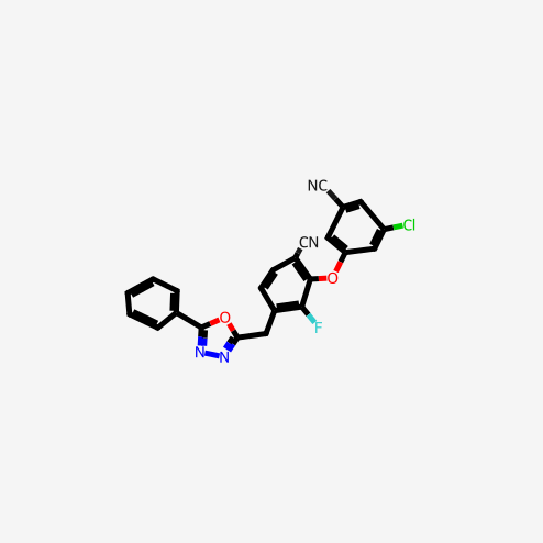 N#Cc1cc(Cl)cc(Oc2c(C#N)ccc(Cc3nnc(-c4ccccc4)o3)c2F)c1